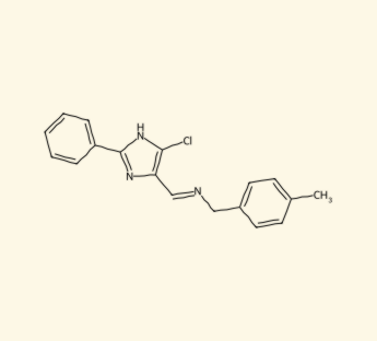 Cc1ccc(C/N=C/c2nc(-c3ccccc3)[nH]c2Cl)cc1